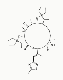 CC[Si](CC)(CC)O[C@H]1[C@@H](C)CCC[C@@]2(C)N[C@H]2C[C@@H](/C(C)=C/c2csc(C)n2)OC(=O)C[C@H](O[Si](CC)(CC)CC)C(C)(C)C(=O)[C@@H]1C